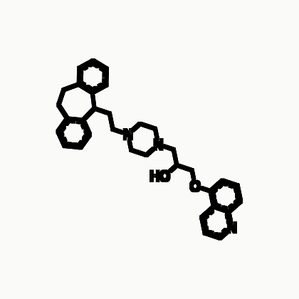 OC(COc1cccc2ncccc12)CN1CCN(CCC2c3ccccc3CCc3ccccc32)CC1